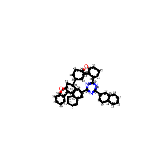 C1=Cc2cc(-c3nc(-c4ccc5ccccc5c4)nc(-c4cccc5oc6ccc(-c7ccc8c(c7)oc7ccccc78)cc6c45)n3)ccc2CC1